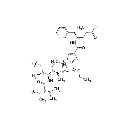 CCO[C@H](C[C@H](C(C)C)N(C)C(=O)[C@@H](NC(=O)[C@@H](C(C)C)N(C)C)[C@@H](C)CC)c1nc(C(=O)N[C@@H](Cc2ccccc2)C[C@H](C)C(=O)O)cs1